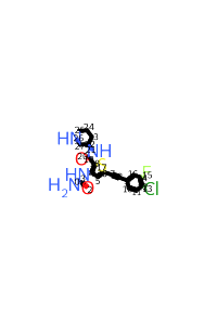 NC(=O)Nc1cc(C#Cc2ccc(Cl)c(F)c2)sc1C(=O)NC1CCCNC1